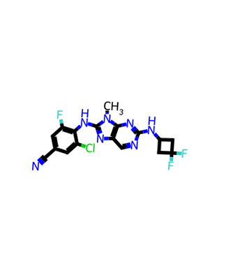 Cn1c(Nc2c(F)cc(C#N)cc2Cl)nc2cnc(NC3CC(F)(F)C3)nc21